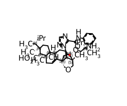 CC(C)[C@@H](C)[C@@]1(C)CC[C@]2(C)[C@H]3CC[C@@H]4[C@@]5(COC[C@@]4(C)[C@@H](OC[C@](C)(N)C(C)C)[C@H](n4ncnc4C(=O)Nc4ccccc4)C5)C3=CC[C@@]2(C)[C@@H]1C(=O)O